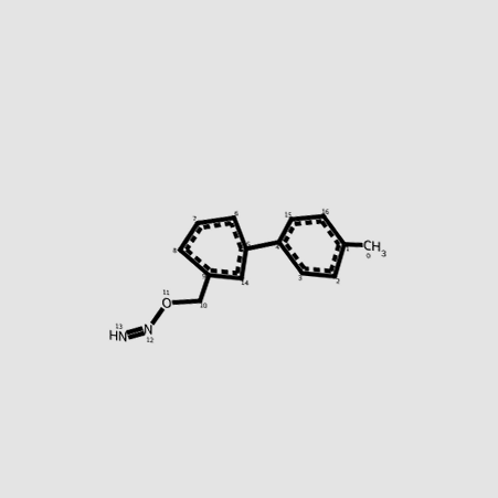 Cc1ccc(-c2cccc(CON=N)c2)cc1